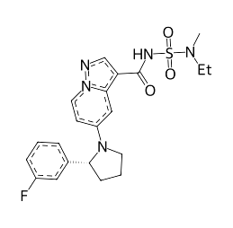 CCN(C)S(=O)(=O)NC(=O)c1cnn2ccc(N3CCC[C@@H]3c3cccc(F)c3)cc12